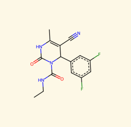 CCNC(=O)N1C(=O)NC(C)=C(C#N)C1c1cc(F)cc(F)c1